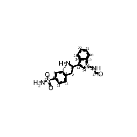 NC(Cc1ccc(S(N)(=O)=O)cc1)c1cn(NC=O)c2ccccc12